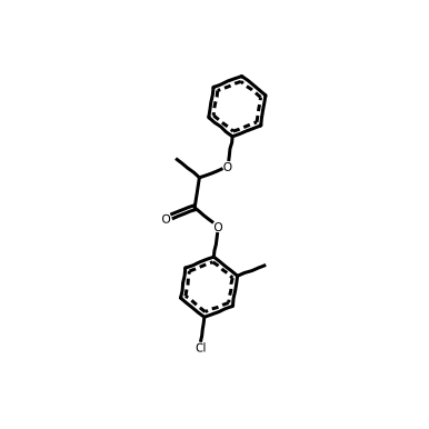 Cc1cc(Cl)ccc1OC(=O)C(C)Oc1ccccc1